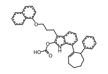 O=C(O)Oc1[nH]c2c(C3=CCCCCC3c3ccccc3)cccc2c1CCCOc1cccc2ccccc12